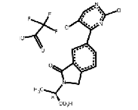 C[C@H](C(=O)O)N1Cc2ccc(-c3nc(Cl)ncc3Cl)cc2C1=O.O=C(O)C(F)(F)F